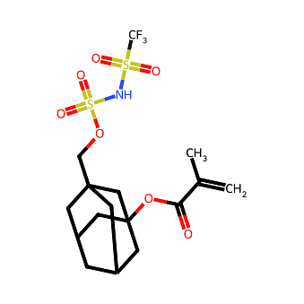 C=C(C)C(=O)OC12CC3CC(CC(COS(=O)(=O)NS(=O)(=O)C(F)(F)F)(C3)C1)C2